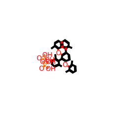 Cc1cccc(C)c1Oc1ccc(-c2c(C)cccc2C)c(Oc2c(C)cccc2C)c1-c1c(C)cccc1C.O=P(O)(O)OP(=O)(O)O